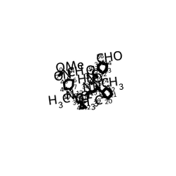 COC(=O)N(C)[C@H]1CC[C@@H](N(C)[C@@H](COc2cc(-c3c(C)cccc3C)nc(NS(=O)(=O)c3cccc(C=O)c3)n2)CC2(C(F)(F)F)CC2)CC1